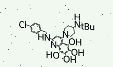 CC(C)(C)NC1CCN(c2cc(NCc3ccc(Cl)cc3)nc3c(O)c(O)c(O)c(O)c23)CC1